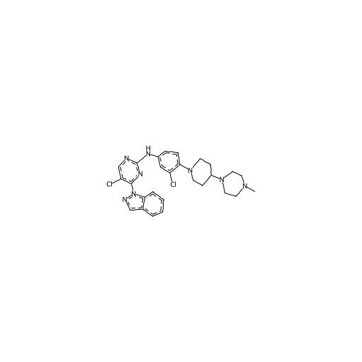 CN1CCN(C2CCN(c3ccc(Nc4ncc(Cl)c(-n5ncc6ccccc65)n4)cc3Cl)CC2)CC1